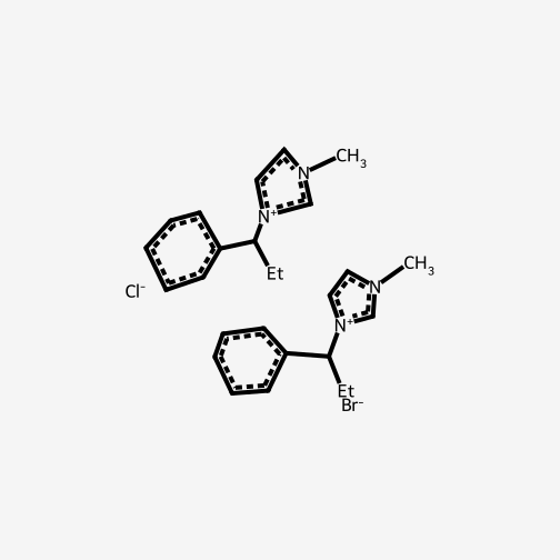 CCC(c1ccccc1)[n+]1ccn(C)c1.CCC(c1ccccc1)[n+]1ccn(C)c1.[Br-].[Cl-]